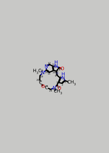 Cc1cc2c([nH]1)/C=C1\C(=O)Nc3cnc(cc31)N(C)CCCOCCN(C)C2=O